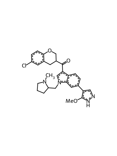 COc1[nH]ncc1-c1ccc2c(C(=O)C3COc4ccc(Cl)cc4C3)cn(CC3CCCN3C)c2c1